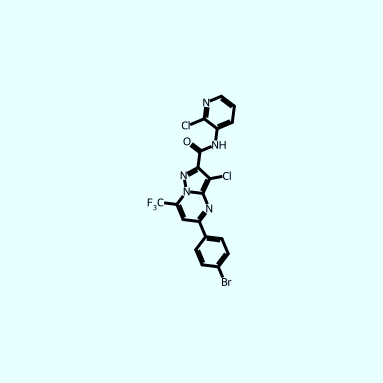 O=C(Nc1cccnc1Cl)c1nn2c(C(F)(F)F)cc(-c3ccc(Br)cc3)nc2c1Cl